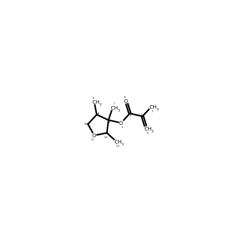 C=C(C)C(=O)OC1(C)C(C)COC1C